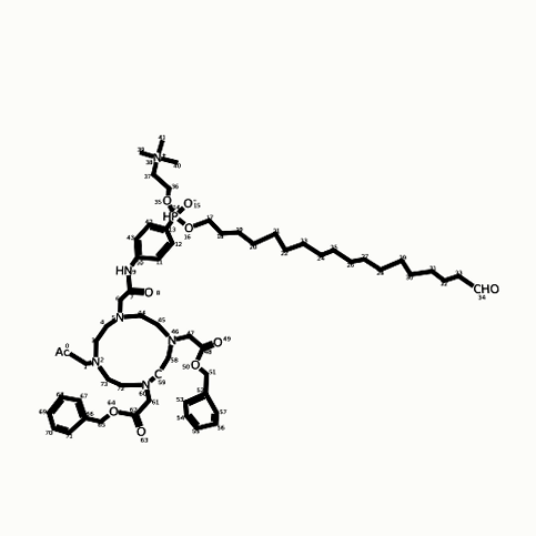 CC(=O)CN1CCN(CC(=O)Nc2ccc([PH]([O-])(OCCCCCCCCCCCCCCCCCC=O)OCC[N+](C)(C)C)cc2)CCN(CC(=O)OCc2ccccc2)CCN(CC(=O)OCc2ccccc2)CC1